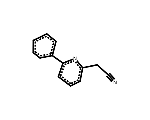 N#CCc1cccc(-c2ccccc2)n1